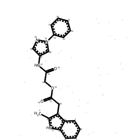 Cc1[nH]c2ccccc2c1CC(=O)OCC(=O)Nc1cnn(-c2ccccc2)c1